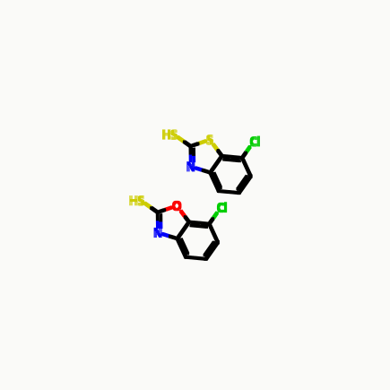 Sc1nc2cccc(Cl)c2o1.Sc1nc2cccc(Cl)c2s1